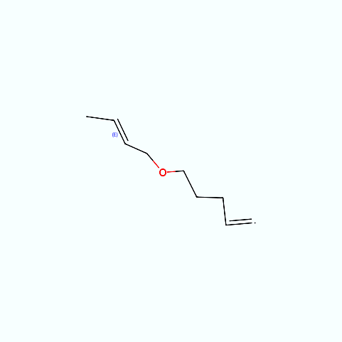 [CH]=CCCCOC/C=C/C